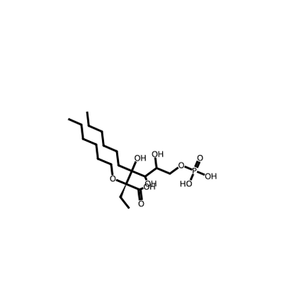 CCCCCCO[C@@](CC)(C(=O)O)C(O)(CCCCCC)C(O)C(O)COP(=O)(O)O